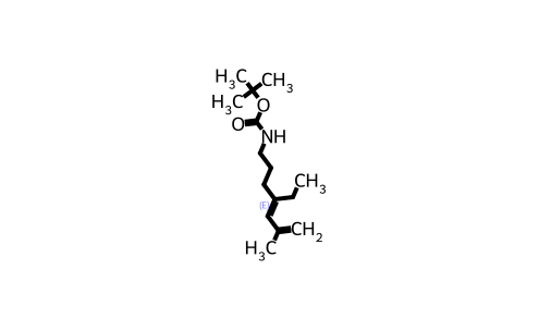 C=C(C)/C=C(\CC)CCCNC(=O)OC(C)(C)C